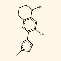 Cc1ccc(-c2cc3c(cc2C#N)N(C(C)C)CCC3)s1